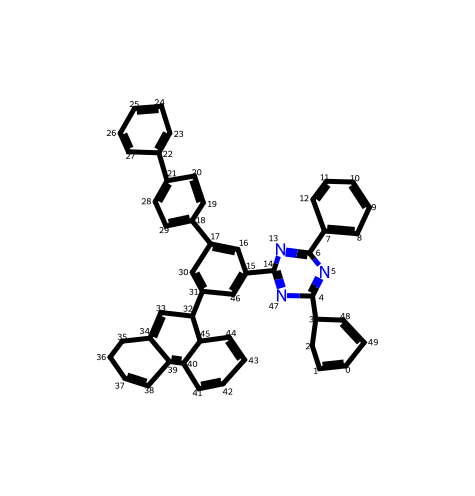 C1=CCC(c2nc(-c3ccccc3)nc(-c3cc(-c4ccc(-c5ccccc5)cc4)cc(C4C=C5CCC=CC5=C5C=CC=CC54)c3)n2)C=C1